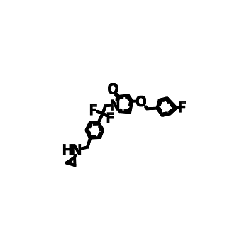 O=c1cc(OCc2ccc(F)cc2)ccn1CC(F)(F)c1ccc(CNC2CC2)cc1